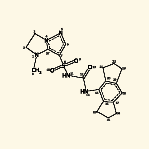 CN1CCn2ncc(S(=O)(=O)NC(=O)Nc3c4c(cc5c3CCC5)CCC4)c21